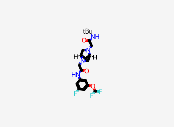 CC(C)(C)NC(=O)CN1C[C@H]2C[C@@H]1CN2CC(=O)Nc1cc(F)cc(OC(F)F)c1